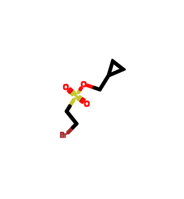 O=S(=O)(CCBr)OCC1CC1